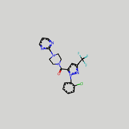 O=C(c1cc(C(F)(F)F)nn1-c1ccccc1Cl)N1CCN(c2ncccn2)CC1